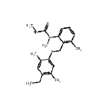 CCc1cc(C)c(OCc2c(C)cccc2N(C)C(=O)NC)cc1C